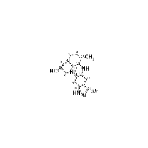 CC1CCc2cc(C#N)cnc2C1Nc1ccc2[nH]nc(Br)c2c1